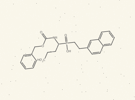 O=C(O)CCC(NC(=O)OCc1ccccc1)P(=O)(O)CCc1ccc2ccccc2c1